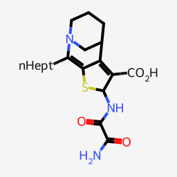 CCCCCCCC1=C2SC(NC(=O)C(N)=O)C(C(=O)O)=C2C2CCCN1C2